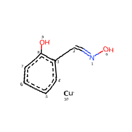 ON=Cc1ccccc1O.[Cu]